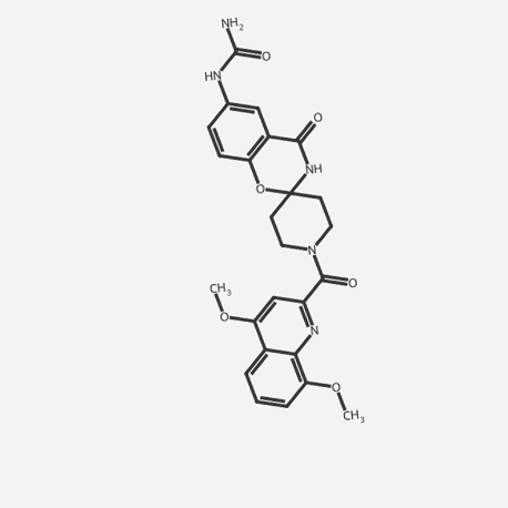 COc1cc(C(=O)N2CCC3(CC2)NC(=O)c2cc(NC(N)=O)ccc2O3)nc2c(OC)cccc12